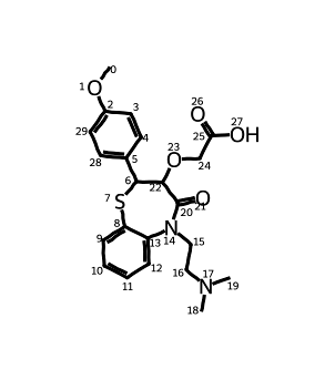 COc1ccc(C2Sc3ccccc3N(CCN(C)C)C(=O)C2OCC(=O)O)cc1